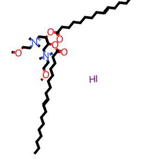 CCCCCCCCC=CCCCCCCCC(=O)OC(C[N+](C)(C)CCOC)C(C[N+](C)(C)CCOC)OC(=O)CCCCCCCC=CCCCCCCCC.I